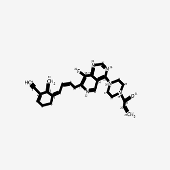 C#CC1=CCC/C(=C/C=C\Cc2ncc3c(N4CCN(C(=O)C=C)CC4)ncnc3c2F)C1=C